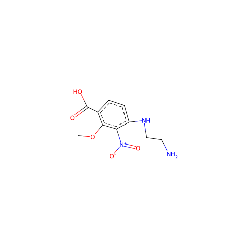 COc1c(C(=O)O)ccc(NCCN)c1[N+](=O)[O-]